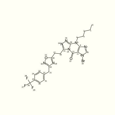 CCCCCn1c2ncn(Br)c2c(=O)n2c(CCc3nc(Cc4ccc(C(F)(F)F)cc4)no3)nnc12